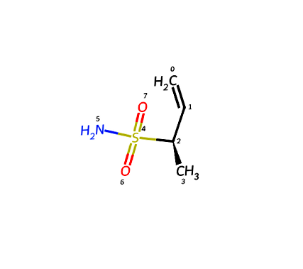 C=C[C@@H](C)S(N)(=O)=O